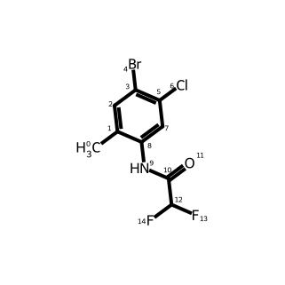 Cc1cc(Br)c(Cl)cc1NC(=O)C(F)F